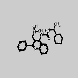 C[C@H](NC(=O)Oc1c(CN(C)C)c(-c2ccccc2)nc2ccccc12)C1CCCCC1